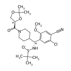 COc1cc(C#N)c(Cl)cc1[C@H](N[S+]([O-])C(C)(C)C)C1CCN(C(=O)[C@H]2COC(C)(C)O2)CC1